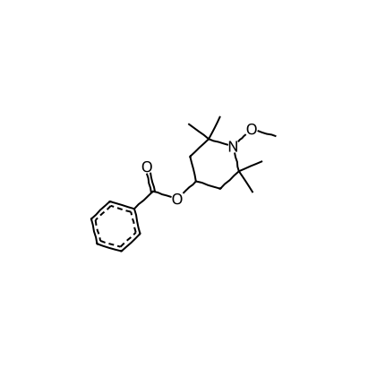 CON1C(C)(C)CC(OC(=O)c2ccccc2)CC1(C)C